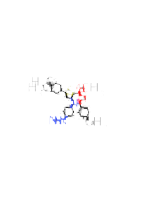 COC(=O)c1sc(C2CCC(C)(C)CC2)cc1N(C(=O)C1CCC(C)CC1)C1CCC(N=[N+]=[N-])CC1